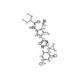 CCC(CC)C(=O)Nc1sc(-c2nc(C3(c4ccc(Cl)cc4Cl)CC3)no2)c(C)c1C#N